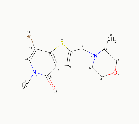 C[C@@H]1COCCN1Cc1cc2c(=O)n(C)cc(Br)c2s1